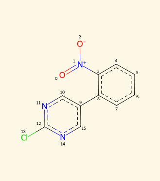 O=[N+]([O-])c1ccccc1-c1cnc(Cl)nc1